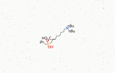 CCCCN(CCCC)CCCCC/C=C(/CP(=O)(O)CC(C)C)C(=O)O